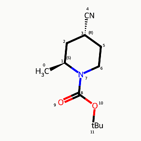 C[C@H]1C[C@H](C#N)CCN1C(=O)OC(C)(C)C